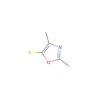 Cc1nc(C)c([S])o1